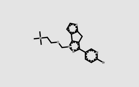 C[Si](C)(C)CCOCn1nc(-c2ccc(Br)nc2)c2c1-c1ccsc1C2